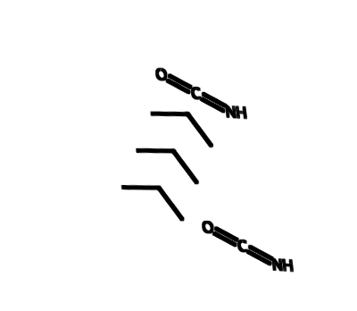 CCC.CCC.CCC.N=C=O.N=C=O